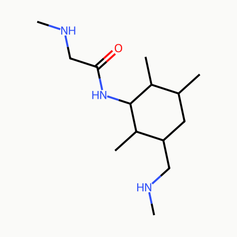 CNCC(=O)NC1C(C)C(C)CC(CNC)C1C